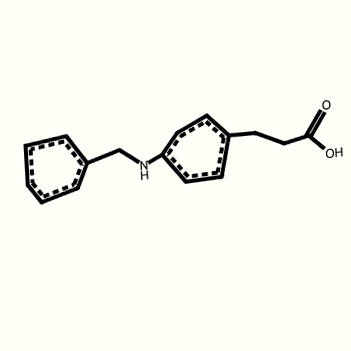 O=C(O)CCc1ccc(NCc2ccccc2)cc1